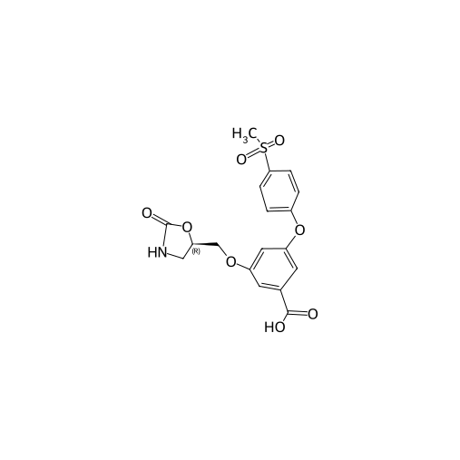 CS(=O)(=O)c1ccc(Oc2cc(OC[C@H]3CNC(=O)O3)cc(C(=O)O)c2)cc1